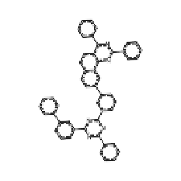 c1ccc(-c2cccc(-c3nc(-c4ccccc4)nc(-c4cccc(-c5ccc6ccc7c(-c8ccccc8)nc(-c8ccccc8)nc7c6c5)c4)n3)c2)cc1